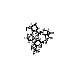 O=C(c1cccc(F)c1-c1ncccn1)N1CC2CC23CC(Oc2cccc(C(F)(F)F)n2)C13